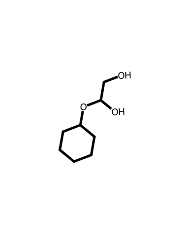 OCC(O)OC1CCCCC1